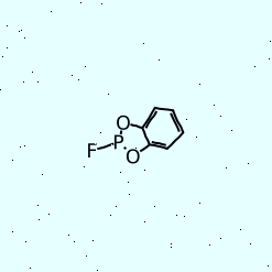 FP1Oc2ccccc2O1